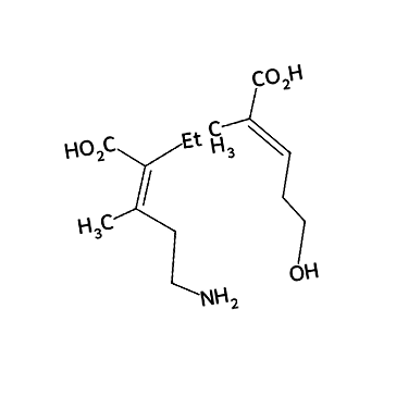 CC(=CCCO)C(=O)O.CCC(C(=O)O)=C(C)CCN